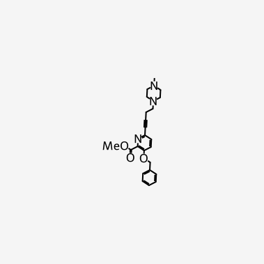 COC(=O)c1nc(C#CCCN2CCN(C)CC2)ccc1OCc1ccccc1